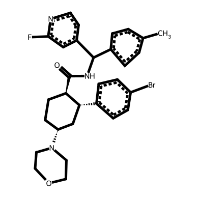 Cc1ccc(C(NC(=O)[C@@H]2CC[C@@H](N3CCOCC3)C[C@H]2c2ccc(Br)cc2)c2ccnc(F)c2)cc1